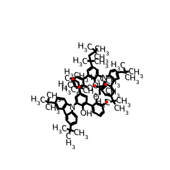 CC(C)(C)CC(C)(C)c1cc(-c2cccc(F)c2OCC(COc2c(F)cccc2-c2cc(C(C)(C)CC(C)(C)C)cc(-n3c4ccc(C(C)(C)C)cc4c4cc(C(C)(C)C)ccc43)c2O)C(C)(C)C)c(O)c(-n2c3ccc(C(C)(C)C)cc3c3cc(C(C)(C)C)ccc32)c1